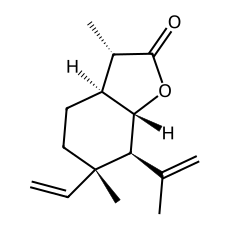 C=C[C@]1(C)CC[C@@H]2[C@H](OC(=O)[C@H]2C)[C@H]1C(=C)C